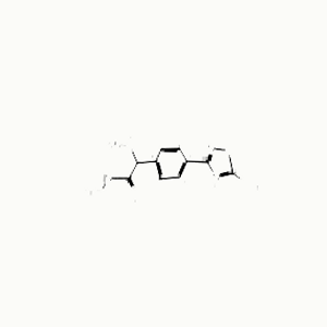 CCCNC(=O)C(OC)c1ccc(-c2noc(C(F)(F)F)n2)cc1